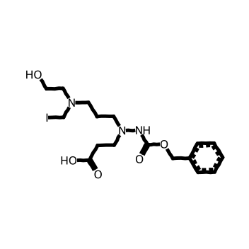 O=C(O)CCN(CCCN(CI)CCO)NC(=O)OCc1ccccc1